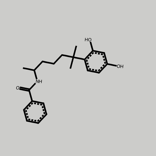 CC(CCCC(C)(C)c1ccc(O)cc1O)NC(=O)c1ccccc1